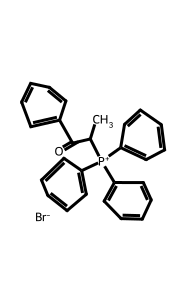 CC(C(=O)c1ccccc1)[P+](c1ccccc1)(c1ccccc1)c1ccccc1.[Br-]